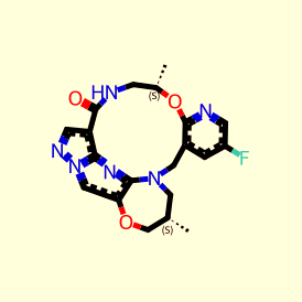 C[C@@H]1COc2cn3ncc4c3nc2N(Cc2cc(F)cnc2O[C@@H](C)CNC4=O)C1